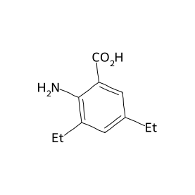 CCc1cc(CC)c(N)c(C(=O)O)c1